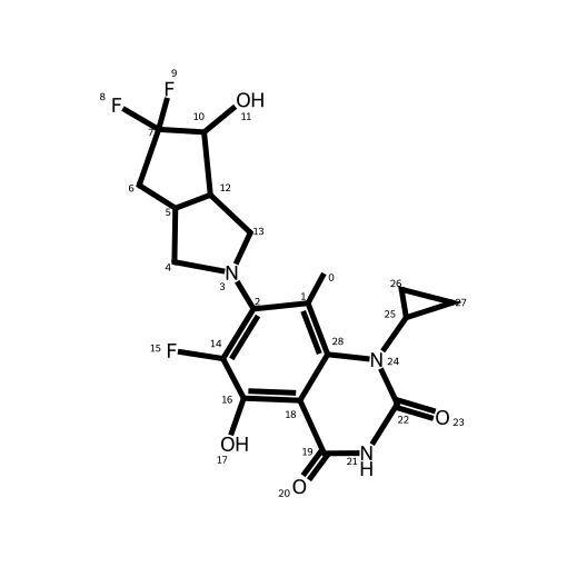 Cc1c(N2CC3CC(F)(F)C(O)C3C2)c(F)c(O)c2c(=O)[nH]c(=O)n(C3CC3)c12